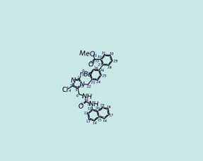 CCCCc1nc(Cl)c(CNC(=O)Nc2cccc3ccccc23)n1Cc1ccc(-c2ccccc2C(=O)OC)cc1